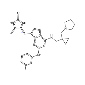 C=c1[nH]c(=O)[nH]/c1=C\c1cnn2c(NCC3(CN4CCCC4)CC3)cc(Nc3cccc(I)c3)nc12